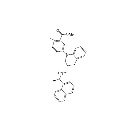 COC(=O)c1cc(N2C[C@@H](CN[C@H](C)c3cccc4ccccc34)Cc3ccccc32)ccc1C